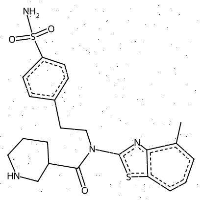 Cc1cccc2sc(N(CCc3ccc(S(N)(=O)=O)cc3)C(=O)C3CCCNC3)nc12